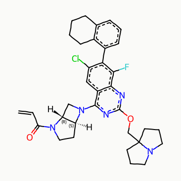 C=CC(=O)N1CC[C@H]2[C@H]1CN2c1nc(OCC23CCCN2CCC3)nc2c(F)c(-c3cccc4c3CCCC4)c(Cl)cc12